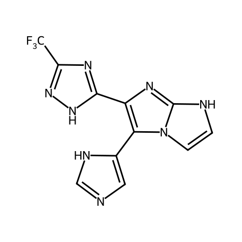 FC(F)(F)c1n[nH]c(-c2nc3[nH]ccn3c2-c2cnc[nH]2)n1